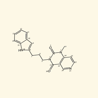 Cn1c(=O)n(CCCc2cc3ccccc3[nH]2)c(=O)c2cnccc21